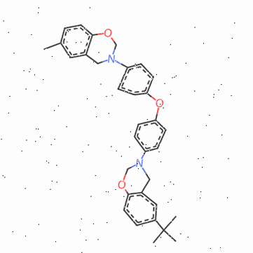 Cc1ccc2c(c1)CN(c1ccc(Oc3ccc(N4COc5ccc(C(C)(C)C)cc5C4)cc3)cc1)CO2